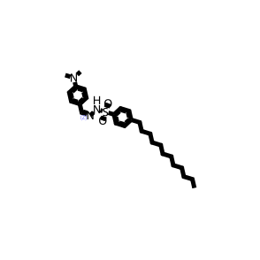 CCCCCCCCCCCCc1ccc(S(=O)(=O)N/N=C\c2ccc(N(C)C)cc2)cc1